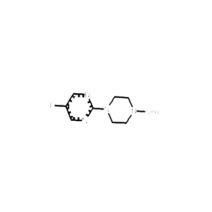 [CH2]CCCN1CCN(c2ncc(F)cn2)CC1